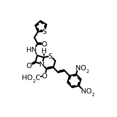 O=C(Cc1cccs1)N[C@@H]1C(=O)N2C(OC(=O)O)=C(/C=C/c3ccc([N+](=O)[O-])cc3[N+](=O)[O-])CS[C@@H]12